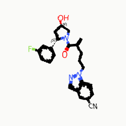 C=C(CCCn1ncc2cc(C#N)ccc21)C(=O)N1C[C@H](O)C[C@H]1c1cccc(F)c1